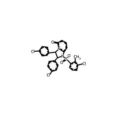 Cc1c(Cl)cccc1S(=O)(=O)N1c2cccc(=O)n2C(c2ccc(Cl)cc2)C1c1ccc(Cl)cc1